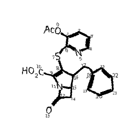 CC(=O)Oc1cccnc1SC1=C(C(=O)O)N2C(=O)CC2C1Cc1ccccc1